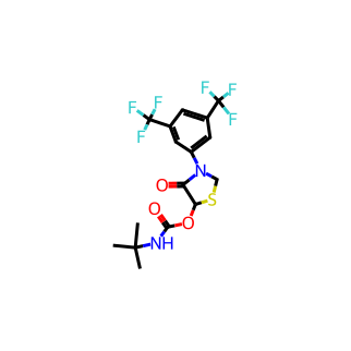 CC(C)(C)NC(=O)OC1SCN(c2cc(C(F)(F)F)cc(C(F)(F)F)c2)C1=O